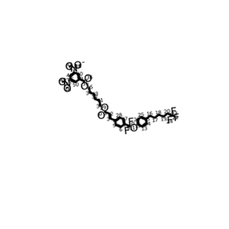 O=C(C=Cc1ccc(C(F)(F)Oc2ccc(CCCCCC(F)(F)F)cc2)cc1)OCCCCCCOC(=O)c1cc([N+](=O)[O-])cc([N+](=O)[O-])c1